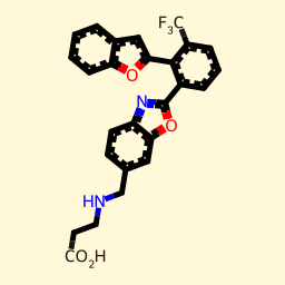 O=C(O)CCNCc1ccc2nc(-c3cccc(C(F)(F)F)c3-c3cc4ccccc4o3)oc2c1